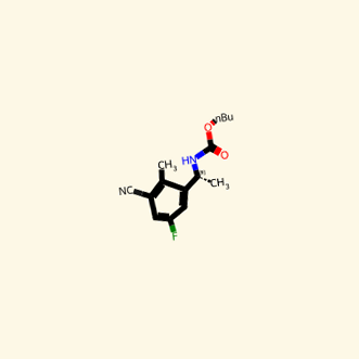 CCCCOC(=O)N[C@H](C)c1cc(F)cc(C#N)c1C